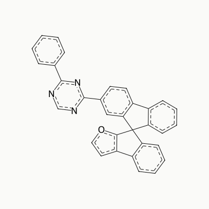 c1ccc(-c2ncnc(-c3ccc4c(c3)C3(c5ccccc5-4)c4ccccc4-c4ccoc43)n2)cc1